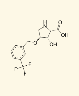 O=C(O)[C@H]1NC[C@H](OCc2cccc(C(F)(F)F)c2)[C@H]1O